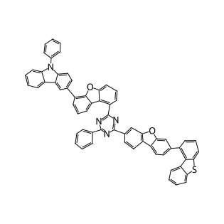 c1ccc(-c2nc(-c3ccc4c(c3)oc3cc(-c5cccc6sc7ccccc7c56)ccc34)nc(-c3cccc4oc5c(-c6ccc7c(c6)c6ccccc6n7-c6ccccc6)cccc5c34)n2)cc1